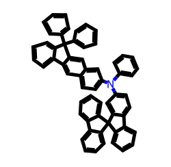 c1ccc(N(c2ccc3c(c2)C2(c4ccccc4-c4ccccc42)c2ccccc2-3)c2ccc3cc4c(cc3c2)C(c2ccccc2)(c2ccccc2)c2ccccc2-4)cc1